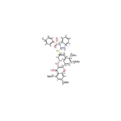 COc1cc(OC)c2c(=O)c(OCCCSc3nc4ccccc4n3S(=O)(=O)c3ccc(C)cc3)c(-c3cc(OC)c(OC)c(OC)c3)oc2c1